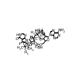 CC(C)(C)[Si](C)(C)OC1C2COP(O)(=S)O[C@@H]3C(COP(O)(=S)O[C@H]1[C@H](n1cnc4c(N)ncnc41)O2)O[C@@H](n1cc(F)c2c(=O)[nH]cnc21)C3O[Si](C)(C)C(C)(C)C